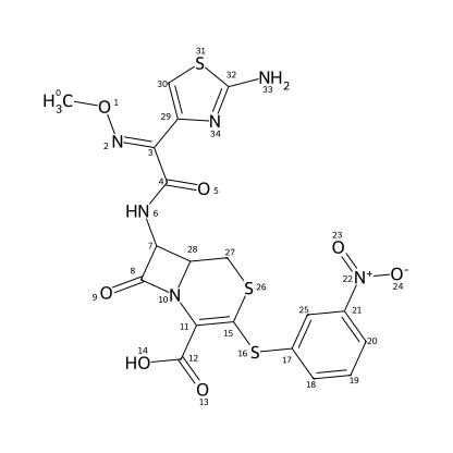 CON=C(C(=O)NC1C(=O)N2C(C(=O)O)=C(Sc3cccc([N+](=O)[O-])c3)SCC12)c1csc(N)n1